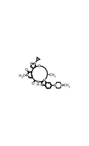 C[C@@H]1CCCOc2c(cnn2C2CC2)-c2cc(cn(C)c2=O)C(=O)Nc2nc3ccc(N4CCN(C)CC4)cc3n2C1